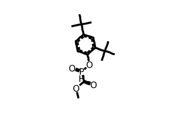 COC(=O)[PH](=O)Oc1ccc(C(C)(C)C)cc1C(C)(C)C